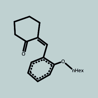 CCCCCCOc1ccccc1C=C1CCCCC1=O